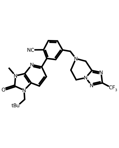 Cn1c(=O)n(CC(C)(C)C)c2ccc(-c3cc(CN4CCn5nc(C(F)(F)F)nc5C4)ccc3C#N)nc21